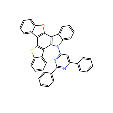 c1ccc(-c2cc(-n3c4ccccc4c4c5oc6ccccc6c5c5sc6ccccc6c5c43)nc(-c3ccccc3)n2)cc1